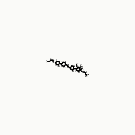 CC/C=C\CC1CCC(C2CCC(/C=C/C3CC=C(c4ccc(OCCCC)c(F)c4F)CC3)CC2)CC1